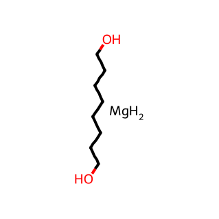 OCCCCCCCCO.[MgH2]